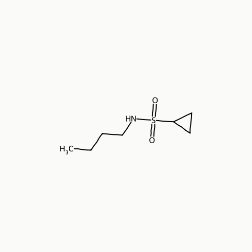 CCCCNS(=O)(=O)C1CC1